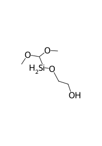 COC(OC)[SiH2]OCCO